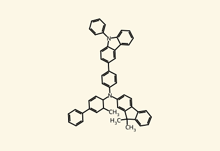 CC1C=C(c2ccccc2)C=CC1N(c1ccc(-c2ccc3c(c2)c2ccccc2n3-c2ccccc2)cc1)c1ccc2c(c1)C(C)(C)c1ccccc1-2